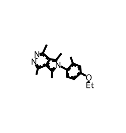 CCOc1ccc(-n2c(C)c3c(C)nnc(C)c3c2C)c(C)c1